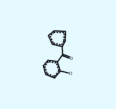 O=C(c1cc[c]cc1)c1ccccc1Cl